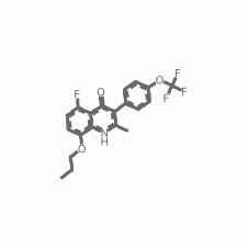 CCCOc1ccc(F)c2c(=O)c(-c3ccc(OC(F)(F)F)cc3)c(C)[nH]c12